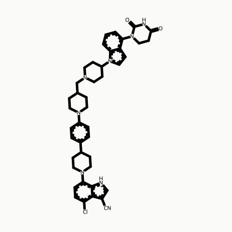 N#Cc1c[nH]c2c(N3CCC(c4ccc(N5CCC(CN6CCC(n7ccc8c(N9CCC(=O)NC9=O)cccc87)CC6)CC5)cc4)CC3)ccc(Cl)c12